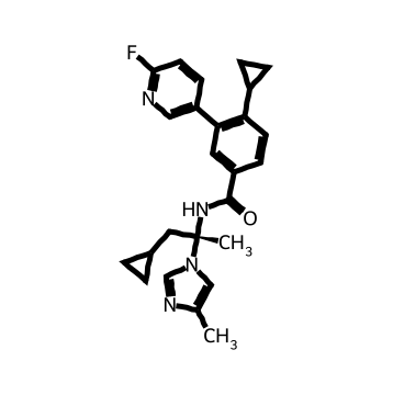 Cc1cn([C@](C)(CC2CC2)NC(=O)c2ccc(C3CC3)c(-c3ccc(F)nc3)c2)cn1